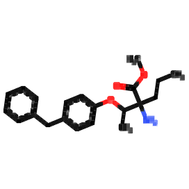 CCCC(N)(C(=O)OC)C(C)Oc1ccc(Cc2ccccc2)cc1